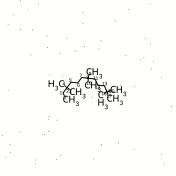 CCC(C)(C)CCCC(C)(C)CCCC(C)(C)C